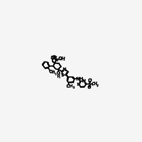 CCC1(C(=O)O)CCC(O)(c2ncc(-c3cc(C)cc(Nc4nccc(S(C)(=O)=O)n4)c3)s2)CC1c1ccccc1C